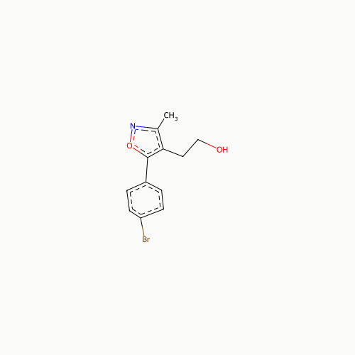 Cc1noc(-c2ccc(Br)cc2)c1CCO